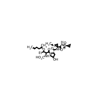 C=CCC[C@@H](C)OC(CC)C(NC(=O)O)C(=O)N1C[C@H](O)C[C@H]1C(=O)N[C@]1(C(=O)NS(=O)(=O)C2CC2)C[C@H]1C=C